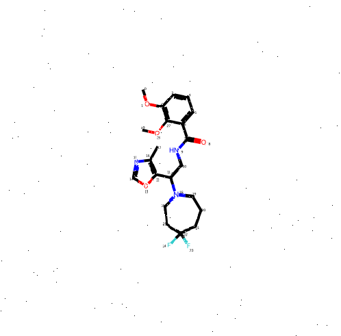 COc1cccc(C(=O)NCC(c2ocnc2C)N2CCCC(F)(F)CC2)c1OC